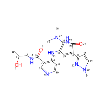 CC(O)CNC(=O)c1cnccc1Nc1cc(-c2ccn(C)n2)c(=O)[nH]c1N(C)C